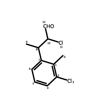 Cc1c(Cl)cccc1C(C)C(Cl)C=O